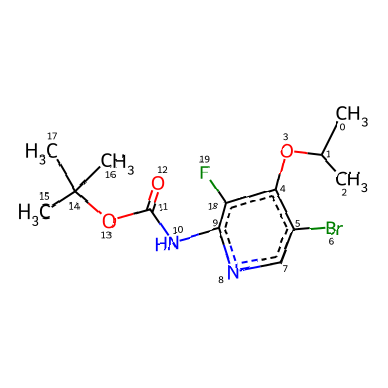 CC(C)Oc1c(Br)cnc(NC(=O)OC(C)(C)C)c1F